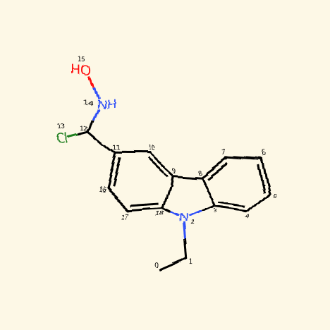 CCn1c2ccccc2c2cc(C(Cl)NO)ccc21